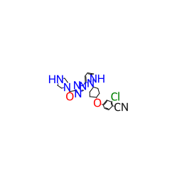 N#Cc1ccc(OC2CCC(N3NC=CC=C3n3cnc(C(=O)N4CCNCC4)n3)CC2)cc1Cl